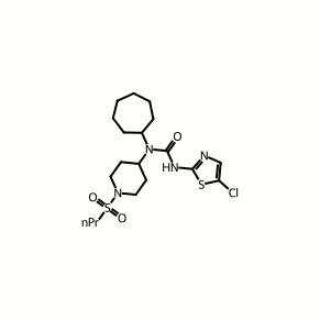 CCCS(=O)(=O)N1CCC(N(C(=O)Nc2ncc(Cl)s2)C2CCCCCC2)CC1